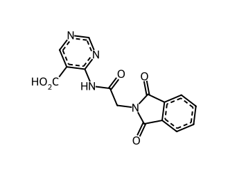 O=C(CN1C(=O)c2ccccc2C1=O)Nc1ncncc1C(=O)O